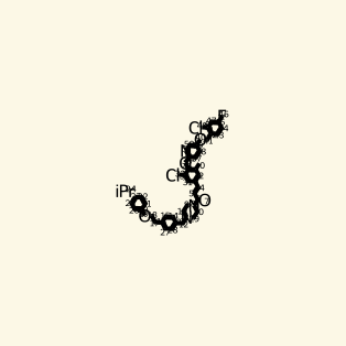 Cc1cc(C=CC(=O)N2CCN(Cc3ccc(CCOc4ccc(C(C)C)cc4)cc3)CC2)cc(Cl)c1Oc1ccc(OCc2ccc(F)cc2Cl)cn1